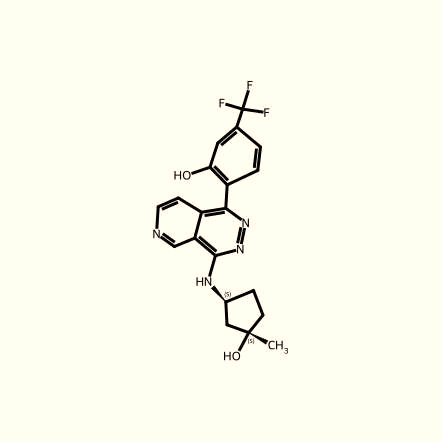 C[C@]1(O)CC[C@H](Nc2nnc(-c3ccc(C(F)(F)F)cc3O)c3ccncc23)C1